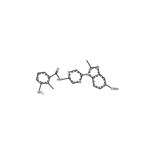 COc1ccc2c(c1)nc(C)n2-c1cnc(NC(=O)c2cccc([N+](=O)[O-])c2C)cn1